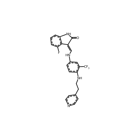 O=C1Nc2cccc(F)c2/C1=C\Nc1ccc(NCCc2ccncc2)c(C(F)(F)F)c1